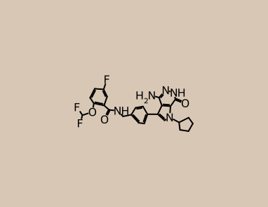 Nc1n[nH]c(=O)c2c1c(-c1ccc(CNC(=O)c3cc(F)ccc3OC(F)F)cc1)cn2C1CCCC1